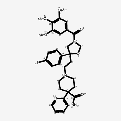 COc1cc(C(=O)N2COC(CCN3CCC(C(N)=O)(c4ccccn4)CC3)(c3ccc(F)cc3)C2)cc(OC)c1OC